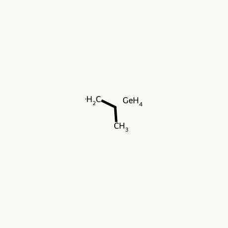 [CH2]CC.[GeH4]